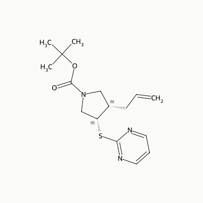 C=CC[C@H]1CN(C(=O)OC(C)(C)C)C[C@H]1Sc1ncccn1